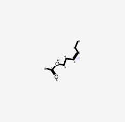 CC/C=C\CCOC(C)=O